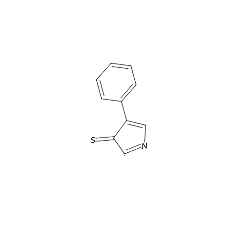 S=C1[C]=NC=C1c1ccccc1